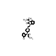 C=C(C)n1c(=O)n(CCN2CCC(N(C(=O)CC)c3cccc(Cl)c3)CC2)c2ccccc21